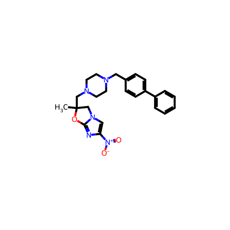 CC1(CN2CCN(Cc3ccc(-c4ccccc4)cc3)CC2)Cn2cc([N+](=O)[O-])nc2O1